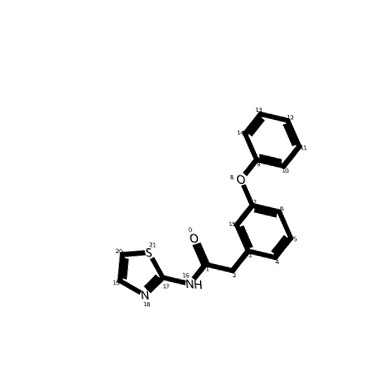 O=C(Cc1cccc(Oc2ccccc2)c1)Nc1nccs1